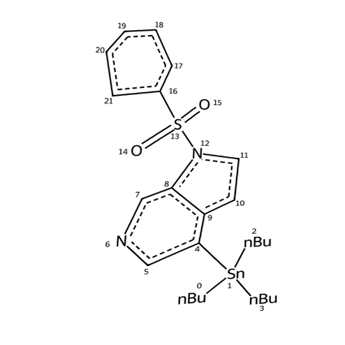 CCC[CH2][Sn]([CH2]CCC)([CH2]CCC)[c]1cncc2c1ccn2S(=O)(=O)c1ccccc1